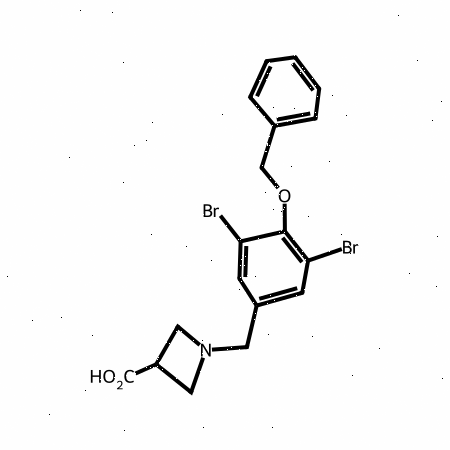 O=C(O)C1CN(Cc2cc(Br)c(OCc3ccccc3)c(Br)c2)C1